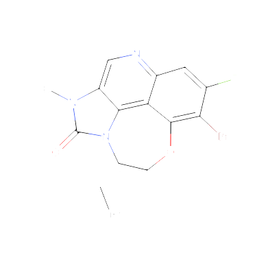 CC(C)C[C@H]1COc2c(Br)c(F)cc3ncc4c(c23)n1c(=O)n4C